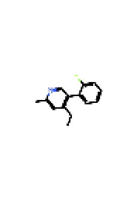 CCc1cc(C)ncc1-c1ccccc1F